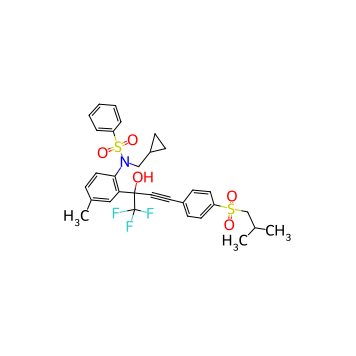 Cc1ccc(N(CC2CC2)S(=O)(=O)c2ccccc2)c(C(O)(C#Cc2ccc(S(=O)(=O)CC(C)C)cc2)C(F)(F)F)c1